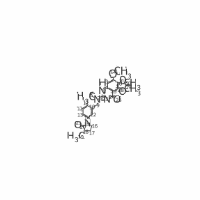 COc1cc2[nH]c(N(C)Cc3cccc(N4CCC(C)C4=O)c3)nc(=O)c2c(OC)c1OC